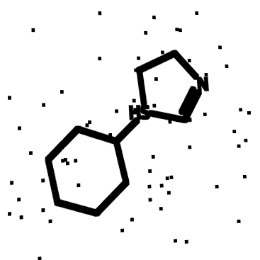 [C]1=NCC[SH]1C1CCCCC1